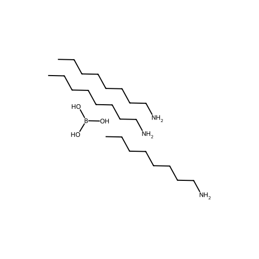 CCCCCCCCN.CCCCCCCCN.CCCCCCCCN.OB(O)O